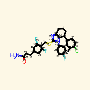 Cc1cc(C2CCCc3nc(SCc4c(F)cc(CCC(N)=O)cc4F)n(-c4ccc(F)cc4)c32)ccc1Cl